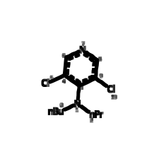 CCCCN(CCC)c1c(Cl)cncc1Cl